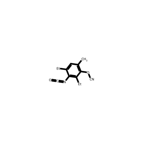 CCc1cc(C)c(OC#N)c(CC)c1N=C=O